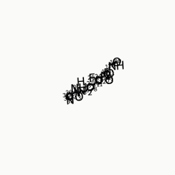 NC(C(=O)NCC1C=CC(c2ccc(N3C[C@H](CNC=O)OC3=O)cc2F)=CC1)c1cccnc1